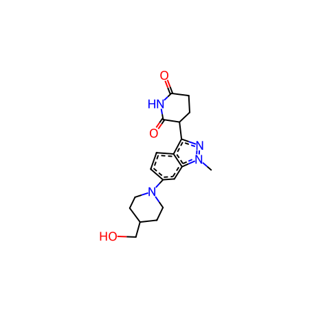 Cn1nc(C2CCC(=O)NC2=O)c2ccc(N3CCC(CO)CC3)cc21